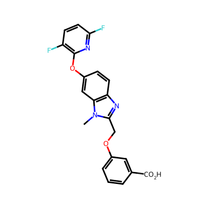 Cn1c(COc2cccc(C(=O)O)c2)nc2ccc(Oc3nc(F)ccc3F)cc21